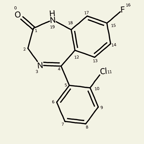 O=C1CN=C(c2ccccc2Cl)c2ccc(F)cc2N1